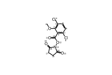 COc1c(Cl)ccc(Cl)c1C(=O)ON1C(=O)CCC1=O